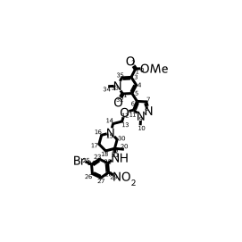 COC(=O)c1cc(-c2cnn(C)c2OCCN2CCCC(C)(Nc3cc(Br)ccc3[N+](=O)[O-])C2)c(=O)n(C)c1